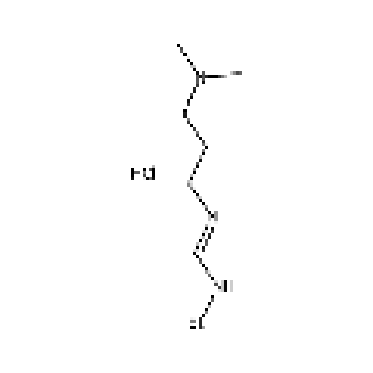 CCN/C=N/CCCN(C)C.Cl